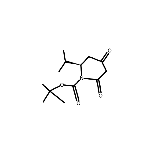 CC(C)[C@H]1CC(=O)CC(=O)N1C(=O)OC(C)(C)C